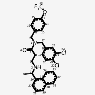 C[C@@H](NCCC(=O)N(Cc1ccc(OC(F)(F)F)cc1)Cc1ccc(Cl)c(Cl)c1)c1cccc2ccccc12